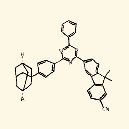 CC1(C)c2ccc(-c3nc(-c4ccccc4)nc(-c4ccc(C56CC7C[C@H](C5)C[C@@H](C7)C6)cc4)n3)cc2-c2ccc(C#N)cc21